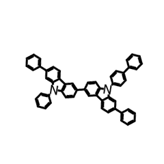 c1ccc(-c2ccc(-n3c4ccc(-c5ccc6c(c5)c5ccc(-c7ccccc7)cc5n6-c5ccccc5)cc4c4ccc(-c5ccccc5)cc43)cc2)cc1